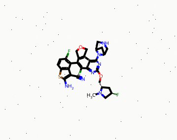 CN1C[C@H](F)C[C@H]1COc1nc(N2C3CNCC2C3)c2c3c(c(-c4c(F)ccc5sc(N)c(C#N)c45)c(F)c2n1)COC3